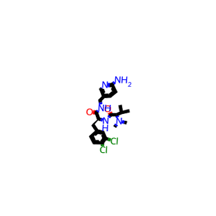 CC(C)C(C(=O)N[C@@H](Cc1ccc(Cl)c(Cl)c1)C(=O)NCc1ccc(N)nc1)N(C)C